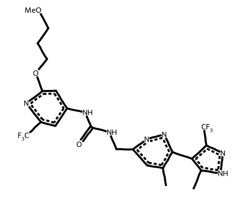 COCCCOc1cc(NC(=O)NCc2cc(C)c(-c3c(C(F)(F)F)n[nH]c3C)nn2)cc(C(F)(F)F)n1